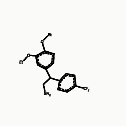 CCOc1ccc(C(CN)c2ccc(C(F)(F)F)cc2)cc1OCC